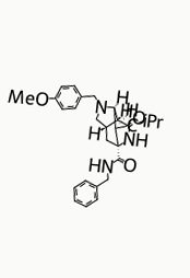 COc1ccc(CN2C[C@H]3C[C@]4(C(=O)NCc5ccccc5)NC(=O)[C@H]3[C@H]2[C@H]4CC(C)C)cc1